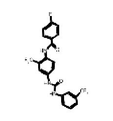 O=C(Nc1cccc(C(F)(F)F)c1)Nc1ccc(NC(=O)c2ccc(F)cc2)c(C(F)(F)F)c1